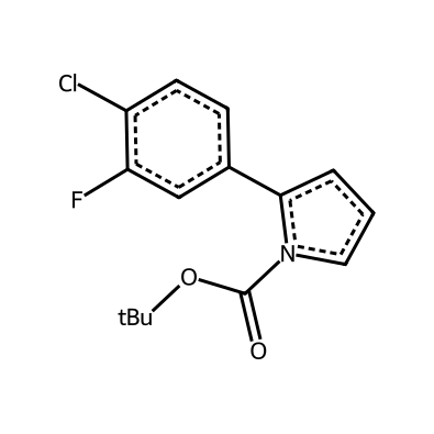 CC(C)(C)OC(=O)n1cccc1-c1ccc(Cl)c(F)c1